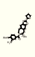 CNc1ccc(C(=O)N2CCc3cc4nc([C@H]5CCCO5)oc4cc3C[C@H]2C(C)(C)C)cc1N